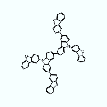 c1ccc2c(c1)oc1ccc(-n3c4ccc(-c5ccc6sc7ccccc7c6c5)cc4c4cc(-c5ccc6c(c5)c5cc(-c7ccc8sc9ccccc9c8c7)ccc5n6-c5ccc6oc7ccccc7c6c5)ccc43)cc12